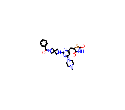 CN1CCN(c2cc(C=C3SC(=O)NC3=O)nc(N3CC4(CN(C(=O)c5ccccc5)C4)C3)n2)CC1